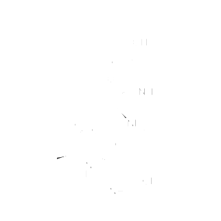 N[C@@H](COC(=O)[C@H](Cc1ccccc1)NC(=O)[C@@H](N)CO)C(=O)N[C@@H](Cc1ccccc1)C(=O)O